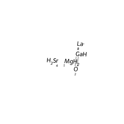 [La].[MgH2].[O]=[GaH].[SrH2]